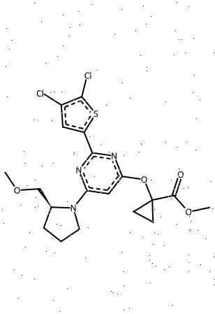 COC[C@@H]1CCCN1c1cc(OC2(C(=O)OC)CC2)nc(-c2cc(Cl)c(Cl)s2)n1